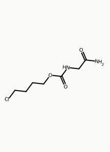 NC(=O)CNC(=O)OCCCCCl